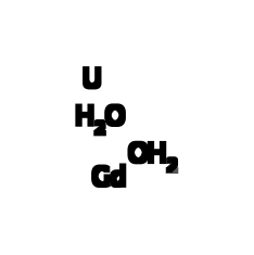 O.O.[Gd].[U]